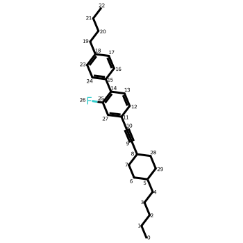 CCCCCC1CCC(C#Cc2ccc(-c3ccc(CCCC)cc3)c(F)c2)CC1